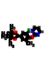 Cc1cc(B2OC(C)(C)C(C)(C)O2)cc(F)c1Oc1ncccn1